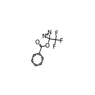 O=C(OC1(C(F)(F)F)N=N1)c1ccccc1